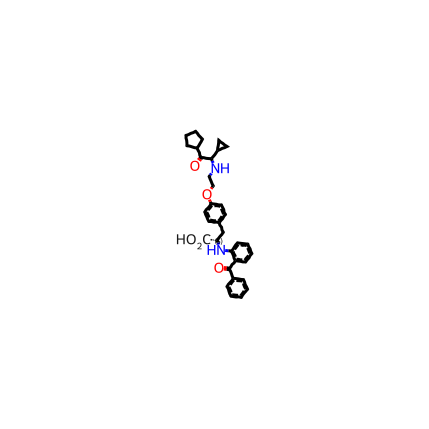 O=C(c1ccccc1)c1ccccc1N[C@@H](Cc1ccc(OCCNC(C(=O)C2CCCC2)C2CC2)cc1)C(=O)O